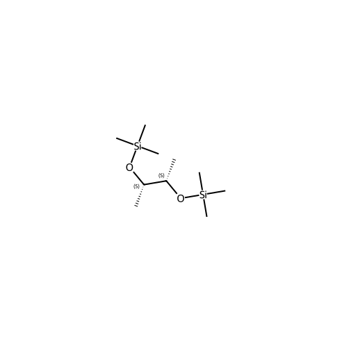 C[C@H](O[Si](C)(C)C)[C@H](C)O[Si](C)(C)C